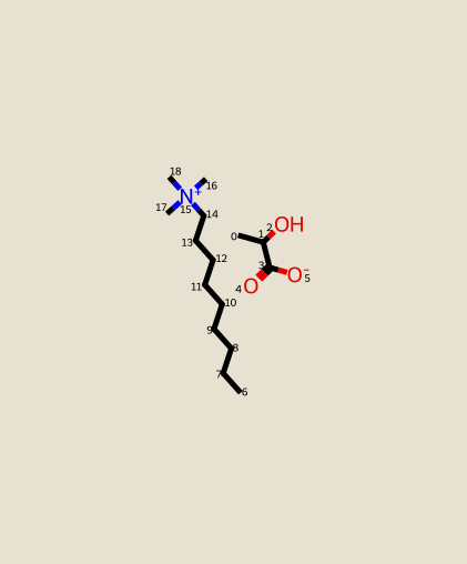 CC(O)C(=O)[O-].CCCCCCCCC[N+](C)(C)C